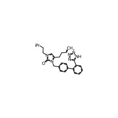 C=CCCc1cn(CCC(C)C)c(=O)n1Cc1ccc(-c2ccccc2-c2nnn[nH]2)cc1